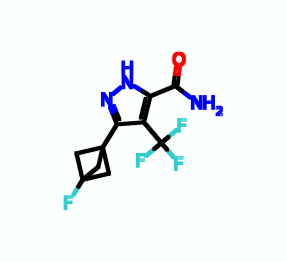 NC(=O)c1[nH]nc(C23CC(F)(C2)C3)c1C(F)(F)F